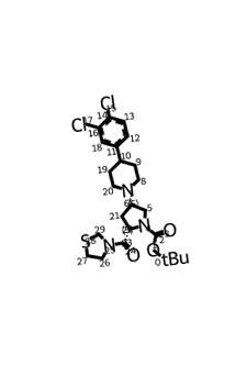 CC(C)(C)OC(=O)N1C[C@@H](N2CCC(c3ccc(Cl)c(Cl)c3)CC2)C[C@H]1C(=O)N1CCSC1